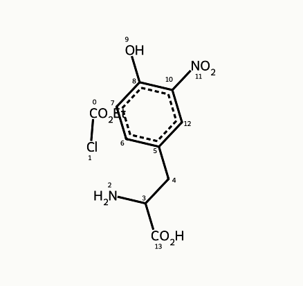 CCOC(=O)Cl.NC(Cc1ccc(O)c([N+](=O)[O-])c1)C(=O)O